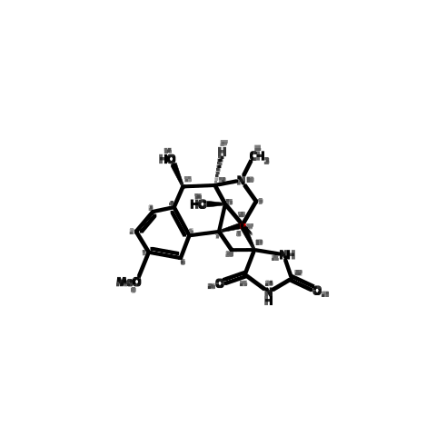 COc1ccc2c(c1)[C@]13CCN(C)[C@H]([C@@H]2O)[C@]1(O)CC[C@@]1(C3)NC(=O)NC1=O